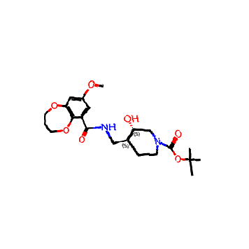 COc1cc2c(c(C(=O)NC[C@@H]3CCN(C(=O)OC(C)(C)C)C[C@H]3O)c1)OCCCO2